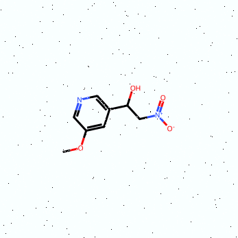 COc1cncc(C(O)C[N+](=O)[O-])c1